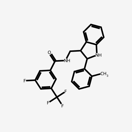 Cc1ccccc1C1Nc2ccccc2C1CNC(=O)c1cc(F)cc(C(F)(F)F)c1